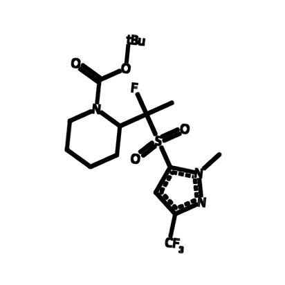 Cn1nc(C(F)(F)F)cc1S(=O)(=O)C(C)(F)C1CCCCN1C(=O)OC(C)(C)C